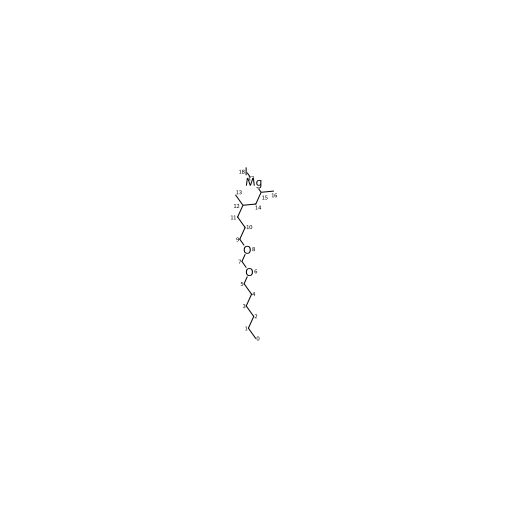 CCCCCCOCOCCCC(C)C[CH](C)[Mg][I]